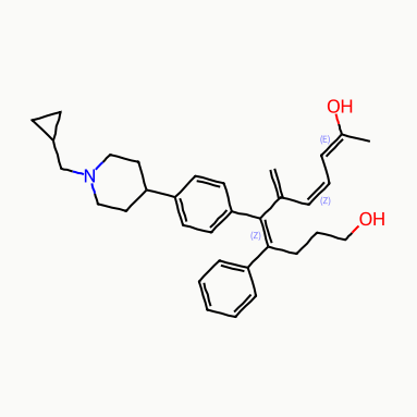 C=C(/C=C\C=C(/C)O)/C(=C(\CCCO)c1ccccc1)c1ccc(C2CCN(CC3CC3)CC2)cc1